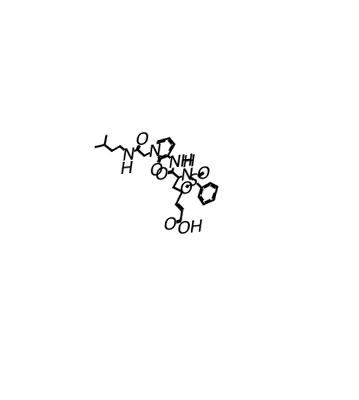 CC(C)CCNC(=O)Cn1cccc(NC(=O)C(CCC=CC(=O)O)NS(=O)(=O)c2ccccc2)c1=O